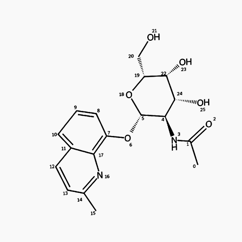 CC(=O)N[C@H]1[C@H](Oc2cccc3ccc(C)nc23)O[C@H](CO)[C@H](O)[C@@H]1O